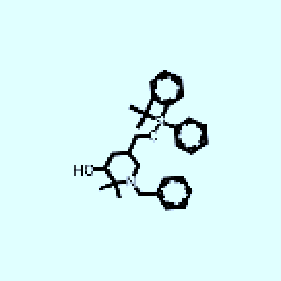 CC1(C)C(O)CC(CO[Si]2(c3ccccc3)c3ccccc3C2(C)C)CN1Cc1ccccc1